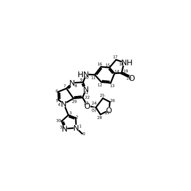 Cn1cc(-n2ccc3nc(Nc4ccc5c(c4)CNC5=O)nc(O[C@H]4CCOC4)c32)cn1